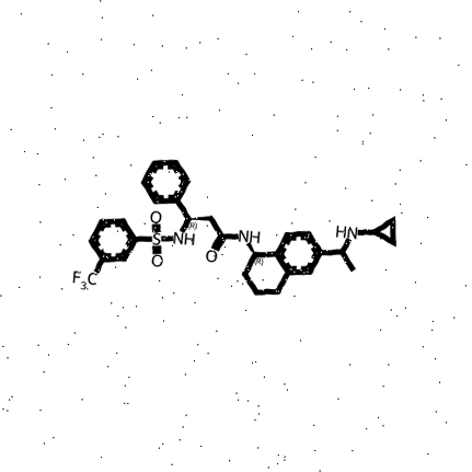 CC(NC1CC1)c1ccc2c(c1)CCC[C@H]2NC(=O)C[C@@H](NS(=O)(=O)c1cccc(C(F)(F)F)c1)c1ccccc1